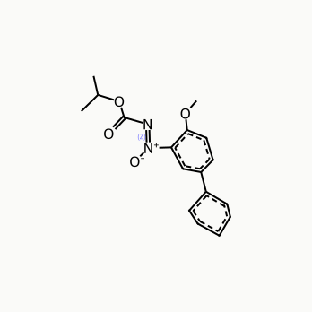 COc1ccc(-c2ccccc2)cc1/[N+]([O-])=N/C(=O)OC(C)C